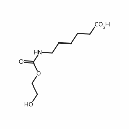 O=C(O)CCCCCNC(=O)OCCO